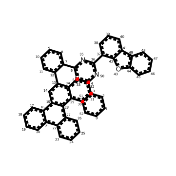 c1ccc(-c2nc(-c3ccccc3-c3cc4c5ccccc5c5ccccc5c4c4ccccc34)nc(-c3cccc4c3oc3ccccc34)n2)cc1